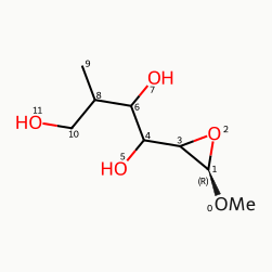 CO[C@@H]1OC1C(O)C(O)C(C)CO